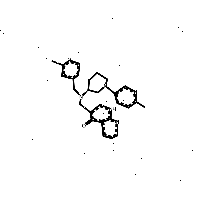 Cc1ccc(N2CCC[C@H](N(Cc3ccnc(C)c3)Cc3c[nH]c4ncccc4c3=O)C2)cn1